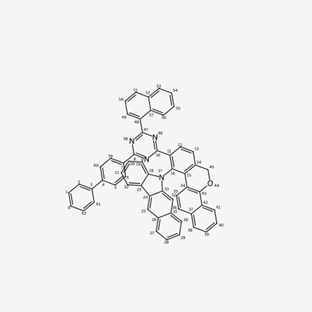 c1ccc(-c2ccc(-c3nc(-c4ccc5c(c4-n4c6ccccc6c6cc7ccccc7cc64)-c4ccc6ccccc6c4OC5)nc(-c4cccc5ccccc45)n3)cc2)cc1